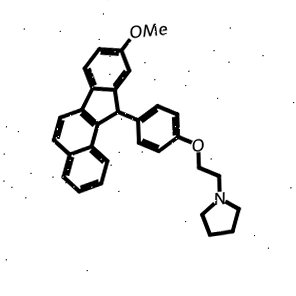 COc1ccc2c(c1)C(c1ccc(OCCN3CCCC3)cc1)c1c-2ccc2ccccc12